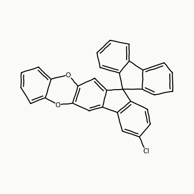 Clc1ccc2c(c1)-c1cc3c(cc1C21c2ccccc2-c2ccccc21)Oc1ccccc1O3